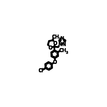 Cc1cc(Oc2ccc(Cl)cc2)ccc1C1(Cn2cncn2)OCCC(C)O1